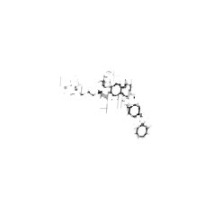 CCN(CC)C/C=C/C(=O)Nc1cc2c(Nc3ccc(Oc4ccccc4)cc3)ncnc2cc1OC